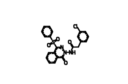 O=C(Cc1cccc(Cl)c1)Nn1nc(S(=O)(=O)c2ccccc2)c2ccccc2c1=O